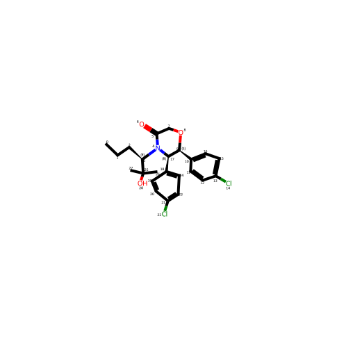 CCC[C@@H](N1C(=O)CO[C@@H](c2ccc(Cl)cc2)[C@H]1c1ccc(Cl)cc1)C(C)(C)O